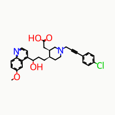 COc1ccc2nccc([C@H](O)CC[C@@H]3CCN(CC#Cc4ccc(Cl)cc4)C[C@@H]3CC(=O)O)c2c1